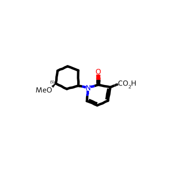 CO[C@H]1CCCC(n2cccc(C(=O)O)c2=O)C1